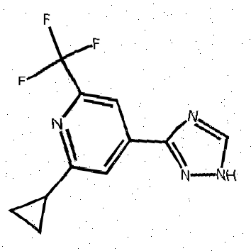 FC(F)(F)c1cc(-c2nc[nH]n2)cc(C2CC2)n1